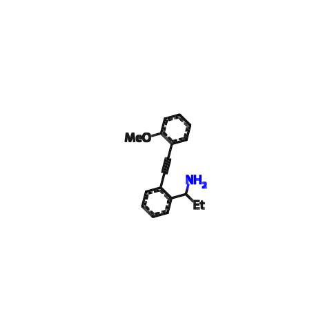 CCC(N)c1ccccc1C#Cc1ccccc1OC